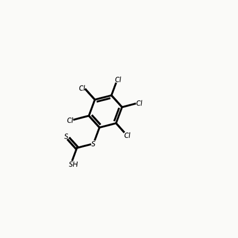 S=C(S)Sc1c(Cl)c(Cl)c(Cl)c(Cl)c1Cl